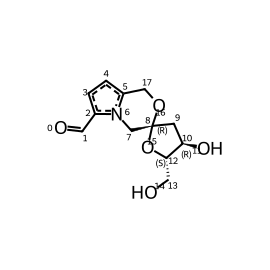 O=Cc1ccc2n1C[C@]1(C[C@@H](O)[C@H](CO)O1)OC2